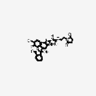 O=C(Nc1nc2ccc(C3(O)c4ccccc4C(=O)N3c3cccc(Cl)c3F)cc2[nH]1)OCCN1C(=O)CCC1=O